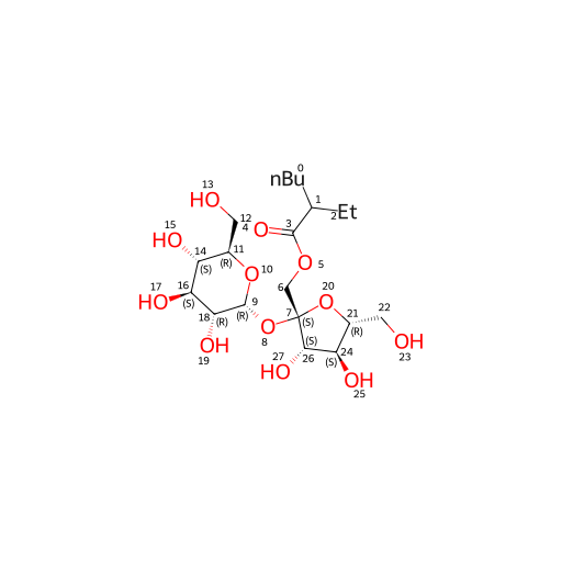 CCCCC(CC)C(=O)OC[C@@]1(O[C@H]2O[C@H](CO)[C@@H](O)[C@H](O)[C@H]2O)O[C@H](CO)[C@@H](O)[C@@H]1O